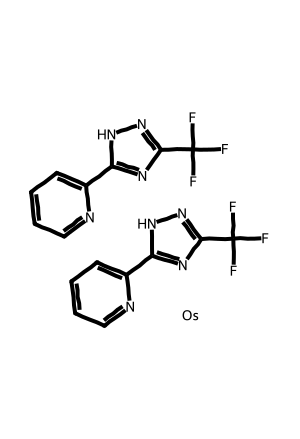 FC(F)(F)c1n[nH]c(-c2ccccn2)n1.FC(F)(F)c1n[nH]c(-c2ccccn2)n1.[Os]